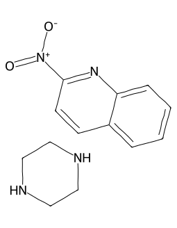 C1CNCCN1.O=[N+]([O-])c1ccc2ccccc2n1